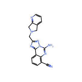 N#Cc1cccc2c1nc(N)n1nc(CN3Cc4cccnc4C3)nc21